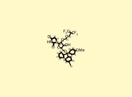 COc1ccc(C(OC[C@H]2O[C@@H](n3ccc(=O)[nH]c3=O)C(OCOCC(C(F)(F)F)C(F)(F)F)[C@H]2O)(c2ccccc2)c2ccc(C)cc2)cc1